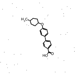 CC1CCC(Oc2ccc(-c3ccc(C(=O)O)cc3)cc2)CC1